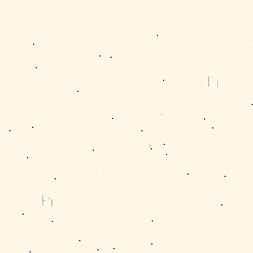 CC(C)CSCCSCC(C)C